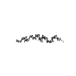 P#P=P\P=P/P=P\P=P/P=P\P=P/P=P\P=P/P=P\P=P/P